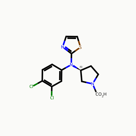 O=C(O)N1CC[C@H](N(c2ccc(Cl)c(Cl)c2)c2nccs2)C1